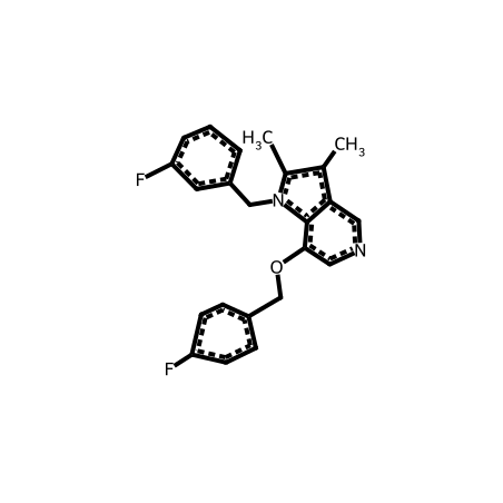 Cc1c(C)n(Cc2cccc(F)c2)c2c(OCc3ccc(F)cc3)cncc12